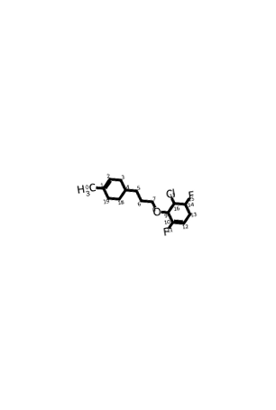 CC1=CCC(CCCOC2C(F)=CCC(F)C2Cl)CC1